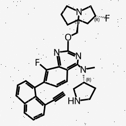 C#Cc1cccc2cccc(-c3ccc4c(N(C)[C@@H]5CCNC5)nc(OC[C@@]56CCCN5C[C@H](F)C6)nc4c3F)c12